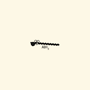 CCCCCCCCCCCCCCCCCC(=O)OC(=O)c1cccc(C)c1.[AlH3]